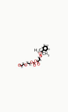 CC(C)(OOC=CC(=O)OC(=O)OCCOCC=O)c1ccccc1